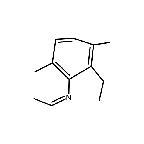 C/C=N\c1c(C)ccc(C)c1CC